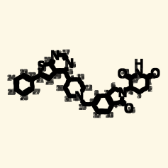 O=C1CCC(N2Cc3cc(CN4CCC(c5ncnc6sc(-c7ccccc7)cc56)CC4)ccc3C2=O)C(=O)N1